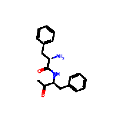 CC(=O)[C@H](Cc1ccccc1)NC(=O)[C@@H](N)Cc1ccccc1